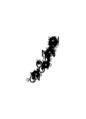 COc1ccc(COc2ccc(Cn3cnc4cc(N5CCN6CCC(CC6)C5)cnc43)cc2OC)cn1